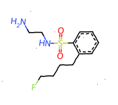 NCCNS(=O)(=O)c1ccccc1CCCCF